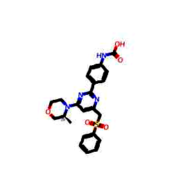 C[C@H]1COCCN1c1cc(CS(=O)(=O)c2ccccc2)nc(-c2ccc(NC(=O)O)cc2)n1